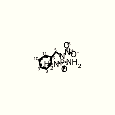 NP(N)(=O)N(Cc1ccccc1)[N+](=O)[O-]